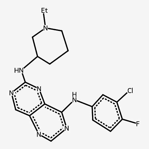 CCN1CCCC(Nc2ncc3ncnc(Nc4ccc(F)c(Cl)c4)c3n2)C1